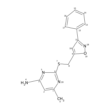 Cc1cc(N)nc(SCc2cc(-c3ccccc3)no2)n1